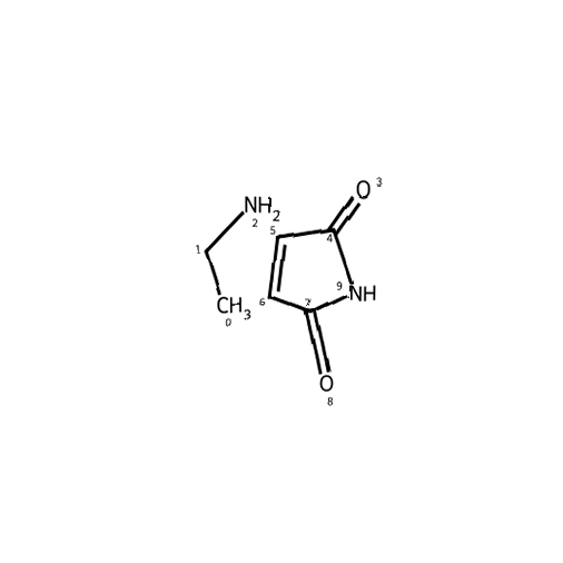 CCN.O=C1C=CC(=O)N1